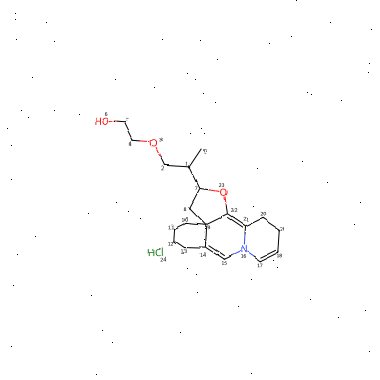 CC(COCCO)C1CC23CCCCC2=CN2C=CCCC2=C3O1.Cl